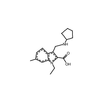 CCn1c(C(=O)O)c(CNC2CCCC2)c2ccc(C)cc21